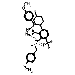 COc1ccc(CNS(=O)(=O)c2c(C(F)(F)F)ccc(C3CCC(N)CC3)c2-c2nnnn2Cc2ccc(OC)cc2)cc1